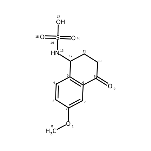 COc1ccc2c(c1)C(=O)CCC2NS(=O)(=O)O